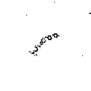 C=C(/C=C\N=C(/N)OC)NC(=O)N1CC2(CCN(Cc3cccc(Oc4ccc(Cl)cc4)c3)CC2)C1